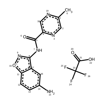 Cc1cnc(C(=O)Nc2noc3ccc(N)cc23)cn1.O=C(O)C(F)(F)F